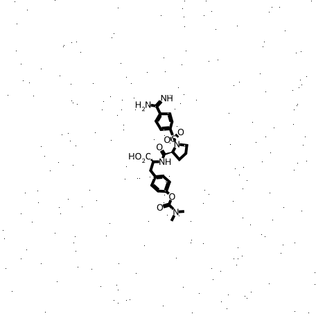 CN(C)C(=O)Oc1ccc(C[C@H](NC(=O)[C@@H]2CCCN2S(=O)(=O)c2ccc(C(=N)N)cc2)C(=O)O)cc1